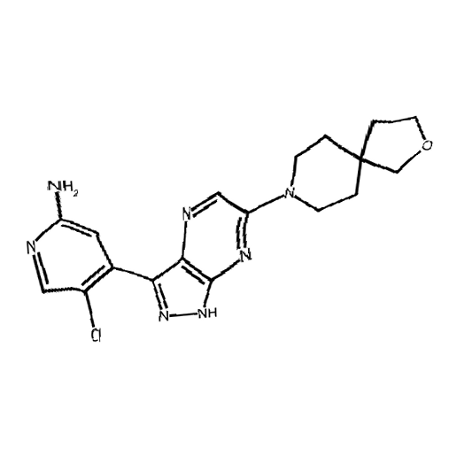 Nc1cc(-c2n[nH]c3nc(N4CCC5(CCOC5)CC4)cnc23)c(Cl)cn1